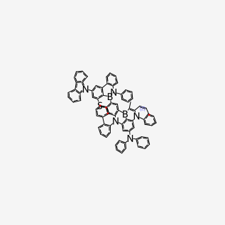 C/C=C\C1=C(C)B2c3cc4c(cc3N(c3ccccc3-c3ccccc3)c3cc(N(c5ccccc5)c5ccccc5)cc(c32)N1c1ccccc1)Sc1cc(-n2c3ccccc3c3ccccc32)cc2c1B4N(c1ccccc1)c1ccccc1-2